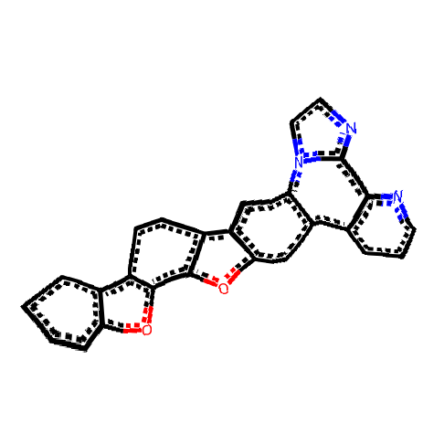 c1ccc2c(c1)oc1c2ccc2c3cc4c(cc3oc21)c1cccnc1c1nccn41